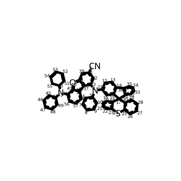 N#Cc1cc(N(c2ccccc2)c2ccc3c(c2)C2(c4ccccc4Sc4ccccc42)c2ccccc2-3)c2c(c1)oc1c(N(c3ccccc3)C3C=CC=CC3)cccc12